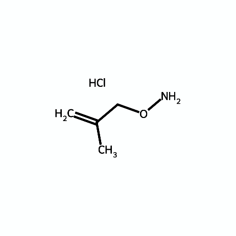 C=C(C)CON.Cl